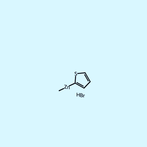 Br.[CH3][Zn][c]1cccs1